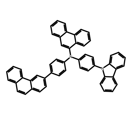 c1ccc2c(c1)ccc1ccc(-c3ccc(N(c4ccc(-n5c6ccccc6c6ccccc65)cc4)c4cc5ccccc5c5ccccc45)cc3)cc12